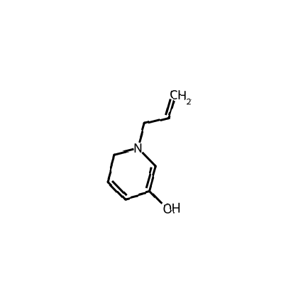 C=CCN1C=C(O)C=CC1